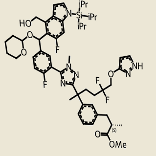 COC(=O)[C@@H](C)Cc1cccc(C(C)(CCC(F)(F)COc2cc[nH]n2)c2nc(-c3cc(C(OC4CCCCO4)c4c(F)cc5c(ccn5[Si](C(C)C)(C(C)C)C(C)C)c4CO)ccc3F)n(C)n2)c1